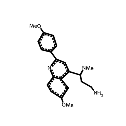 CNC(CCN)c1cc(-c2ccc(OC)cc2)nc2ccc(OC)cc12